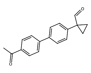 CC(=O)c1ccc(-c2ccc(C3(C=O)CC3)cc2)cc1